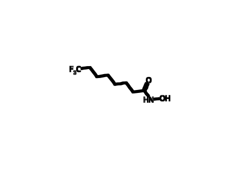 O=C(CCCCCCC(F)(F)F)NO